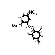 COc1ncc([N+](=O)[O-])cc1SNc1c(C)cc(F)cc1C